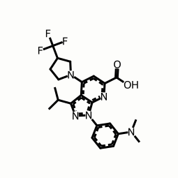 CC(C)c1nn(-c2cccc(N(C)C)c2)c2nc(C(=O)O)cc(N3CCC(C(F)(F)F)C3)c12